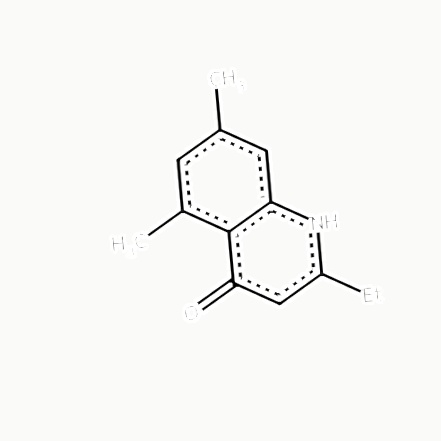 CCc1cc(=O)c2c(C)cc(C)cc2[nH]1